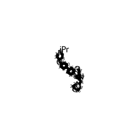 CC(C)N1CCC(Oc2ccc(-c3ccc4c(c3)OCc3nc(CN5CCOCC5)cn3-4)cc2)CC1